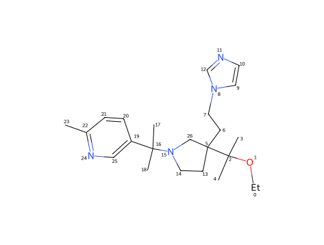 CCOC(C)(C)C1(CCn2ccnc2)CCN(C(C)(C)c2ccc(C)nc2)C1